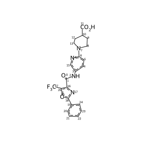 O=C(Nc1ccc(N2CCC(C(=O)O)CC2)nc1)c1nc(-c2ccccc2)oc1C(F)(F)F